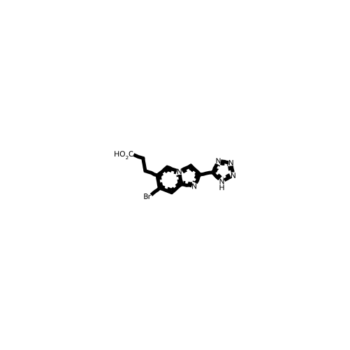 O=C(O)CCc1cn2cc(-c3nnn[nH]3)nc2cc1Br